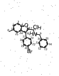 Cc1ccc2oc(CNCc3ccccc3)c(-c3ccc(Br)cc3)c2c1.Cl